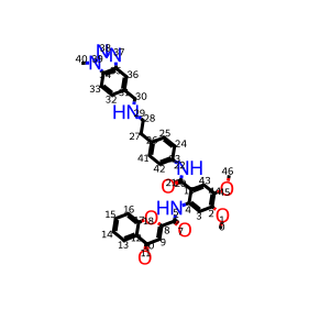 COc1cc(NC(=O)c2cc(=O)c3ccccc3o2)c(C(=O)Nc2ccc(CCNCc3ccc4c(c3)nnn4C)cc2)cc1OC